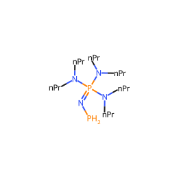 CCCN(CCC)P(=NP)(N(CCC)CCC)N(CCC)CCC